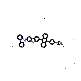 CC(C)(C)c1ccc(-c2c3ccccc3c(-c3ccc4c(c3)sc3cc(-n5c6ccccc6c6ccccc65)ccc34)c3ccccc23)cc1